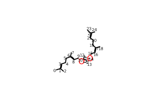 CC(C)=CCCC(C)=CCO[Si](C)(C)OCC=C(C)CCC=C(C)C